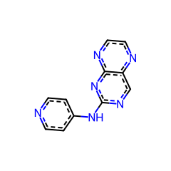 c1cc(Nc2ncc3nccnc3n2)ccn1